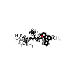 COc1ccc(C(Nc2ncnc3c2ncn3C(CCOCP(=O)(OC(C)C)OC(C)C)COS(C)(=O)=O)(c2ccccc2)c2ccccc2)cc1